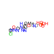 COc1cc2c(Nc3ccc(NC(=O)c4cccc(Cl)c4)nc3)ncnc2cc1OCCCN1CCC(COP(=O)(O)O)CC1